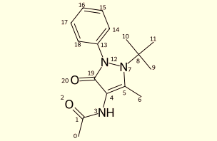 CC(=O)Nc1c(C)n(C(C)(C)C)n(-c2ccccc2)c1=O